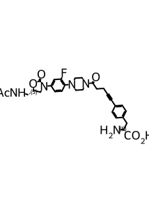 CC(=O)NC[C@H]1CN(c2ccc(N3CCN(C(=O)CCC#Cc4ccc(C[C@H](N)C(=O)O)cc4)CC3)c(F)c2)C(=O)O1